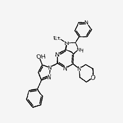 CCN1c2nc(-n3nc(-c4ccccc4)cc3O)nc(N3CCOCC3)c2NC1c1ccncc1